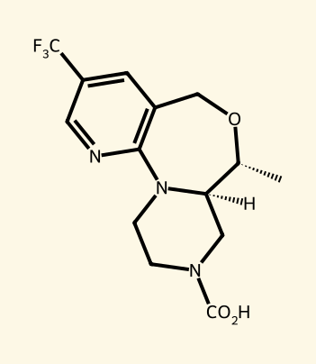 C[C@H]1OCc2cc(C(F)(F)F)cnc2N2CCN(C(=O)O)C[C@H]12